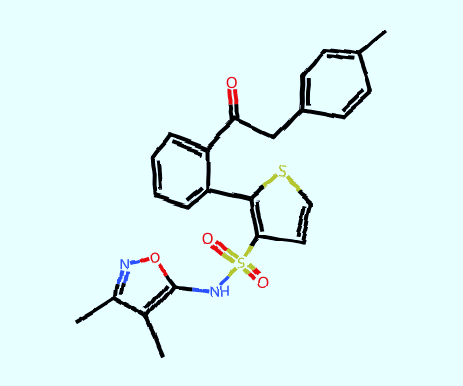 Cc1ccc(CC(=O)c2ccccc2-c2sccc2S(=O)(=O)Nc2onc(C)c2C)cc1